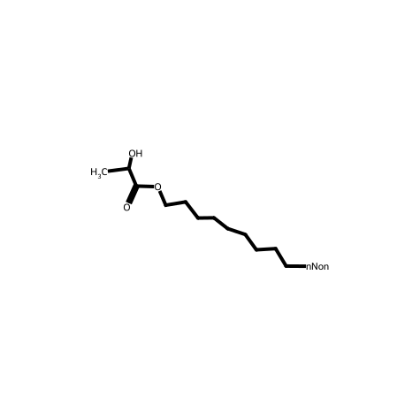 CCCCCCCCCCCCCCCCCCOC(=O)C(C)O